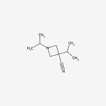 CC(C)N1CC(C#N)(C(C)C)C1